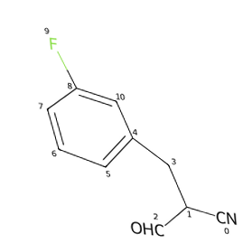 N#CC(C=O)Cc1cccc(F)c1